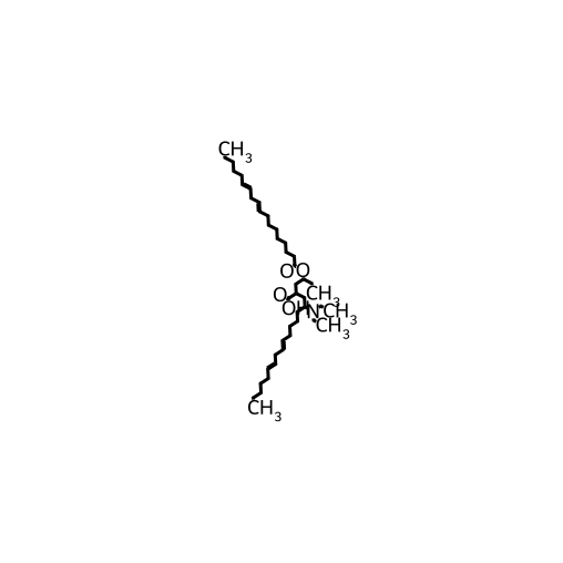 CCCCCC=CCC=CCCCCCCCC(=O)OC(CC)CC(CC(CCCCC=CCC=CCCCCC)N(CC)CC)C(=O)O